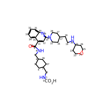 O=C(O)NCC1CCC(CNC(=O)c2cc(N3CCC(CCNC4CCOCC4)CC3)nc3ccccc23)CC1